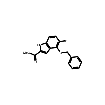 COC(=O)c1cc2c(OCc3ccccc3)c(F)ccc2[nH]1